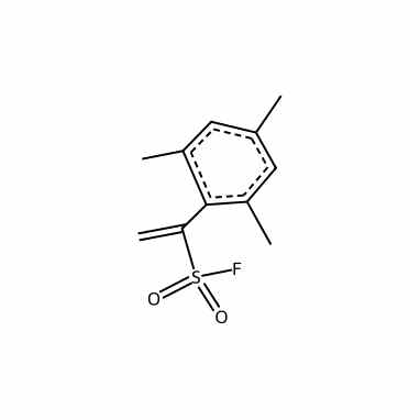 C=C(c1c(C)cc(C)cc1C)S(=O)(=O)F